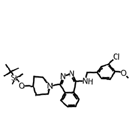 COc1ccc(CNc2nnc(N3CCC(O[Si](C)(C)C(C)(C)C)CC3)c3ccccc23)cc1Cl